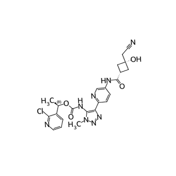 C[C@@H](OC(=O)Nc1c(-c2ccc(NC(=O)[C@H]3C[C@](O)(CC#N)C3)cn2)nnn1C)c1cccnc1Cl